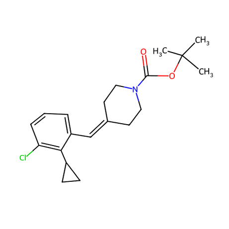 CC(C)(C)OC(=O)N1CCC(=Cc2cccc(Cl)c2C2CC2)CC1